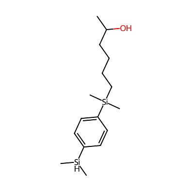 CC(O)CCCC[Si](C)(C)c1ccc([SiH](C)C)cc1